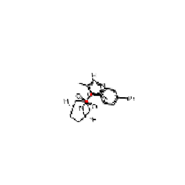 Cc1n[nH]c(C)c1S(=O)(=O)N1[C@@H]2CC[C@H]1C[C@H](Oc1ccc(C(C)C)cc1)C2